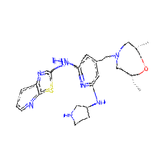 C[C@@H]1CN(Cc2cc(Nc3nc4cccnc4s3)nc(N[C@H]3CCNC3)c2)C[C@H](C)O1